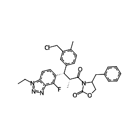 CCn1nnc2c(F)c([C@H](c3ccc(C)c(CCl)c3)[C@@H](C)C(=O)N3C(=O)OCC3Cc3ccccc3)ccc21